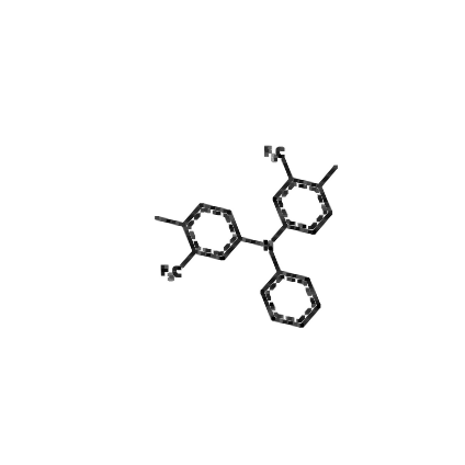 Cc1ccc(N(c2ccccc2)c2ccc(C)c(C(F)(F)F)c2)cc1C(F)(F)F